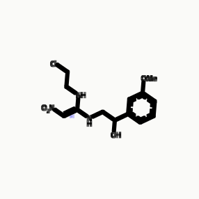 COc1cccc(C(O)CN/C(=C/[N+](=O)[O-])NCCCl)c1